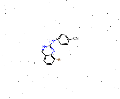 N#Cc1ccc(Nc2ncc3cccc(Br)c3n2)cc1